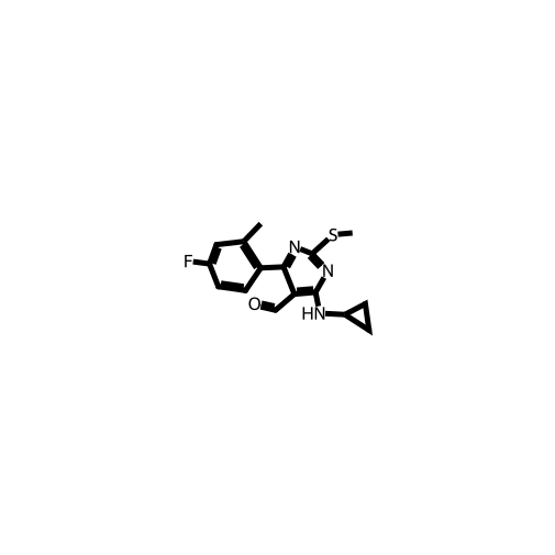 CSc1nc(NC2CC2)c(C=O)c(-c2ccc(F)cc2C)n1